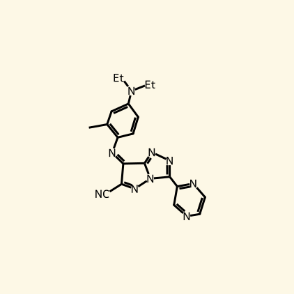 CCN(CC)c1ccc(/N=C2/C(C#N)=Nn3c2nnc3-c2cnccn2)c(C)c1